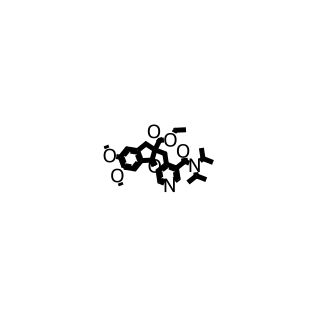 CCOC(=O)C1(Cc2ccncc2C(=O)N(C(C)C)C(C)C)Cc2cc(OC)c(OC)cc2C1=O